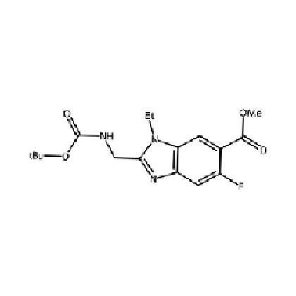 CCn1c(CNC(=O)OC(C)(C)C)nc2cc(F)c(C(=O)OC)cc21